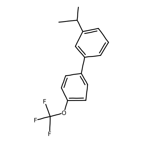 CC(C)c1cccc(-c2ccc(OC(F)(F)F)cc2)c1